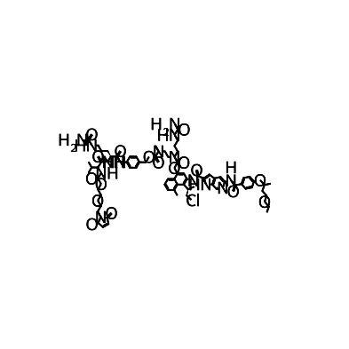 CCOCCC(C)Oc1ccc(C(=O)Nc2cc3cc(C(=O)N4C[C@@H](CCl)c5c4cc(OC(=O)N(CCCNC(N)=O)CCN(C)C(=O)OCc4ccc(NC(=O)[C@H](CCCNC(N)=O)NC(=O)[C@@H](NC(=O)OCCOCCN6C(=O)C=CC6=O)C(C)C)cc4)c4cccc(C)c54)[nH]c3cn2)cc1